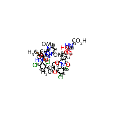 C#CC(C)Oc1cc(N2C(=O)C3=C(CCCC3)C2=O)c(F)cc1Cl.COc1cc(OC)n2nc(S(=O)(=O)Nc3c(Cl)ccc(C)c3Cl)nc2n1.C[S+](C)C.O=C(O)CNCP(=O)([O-])O